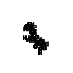 CS(=O)(=O)Nc1cccc(C(N)C(=O)NC2C(=O)N3C(C(=O)O)=C(Cl)CCC23)c1